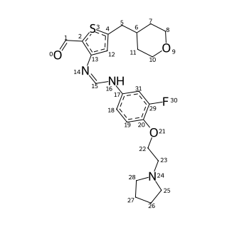 O=Cc1sc(CC2CCOCC2)cc1/N=C\Nc1ccc(OCCN2CCCC2)c(F)c1